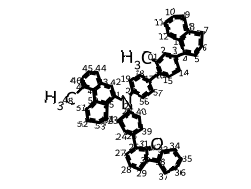 Cc1cc(-c2cccc3ccccc23)ccc1-c1ccc(N(c2ccc(-c3cccc4c3oc3ccccc34)cc2)c2cc3cccc(C)c3c3ccccc23)cc1